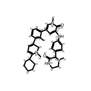 Cc1c(C2=CC=C(C3CCCCC3)N(C)C2)cccc1-c1cc(Nc2ccc(C3C(=O)NCCN3C)cc2)c(=O)n(C)c1